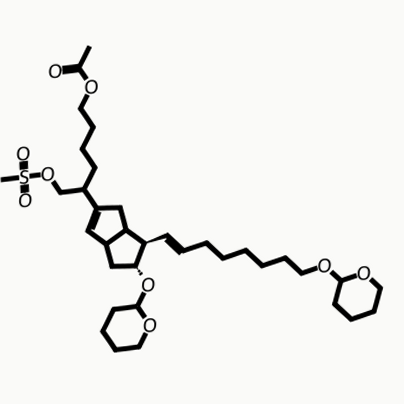 CC(=O)OCCCCC(COS(C)(=O)=O)C1=CC2C[C@@H](OC3CCCCO3)[C@H](C=CCCCCCCOC3CCCCO3)C2C1